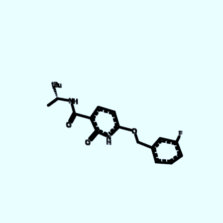 C[C@@H](NC(=O)c1ccc(OCc2cccc(F)c2)[nH]c1=O)C(C)(C)C